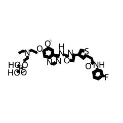 CCN(CCOc1cc2ncnc(Nc3nc(-c4csc(CC(=O)Nc5cccc(F)c5)c4)co3)c2cc1OC)CCOP(=O)(O)O